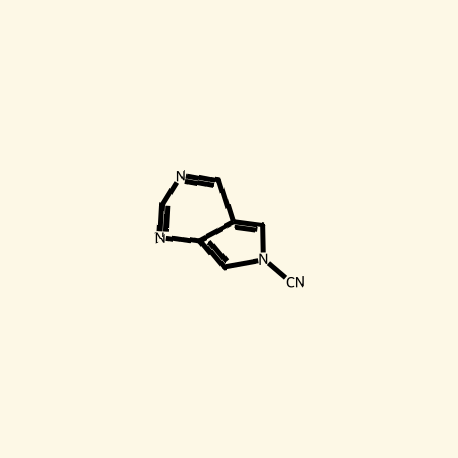 N#Cn1cc2cncnc2c1